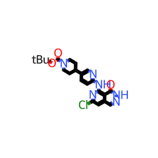 CC(C)(C)OC(=O)N1CCC(c2ccc(Nc3nc(Cl)cc4cn[nH]c(=O)c34)nc2)CC1